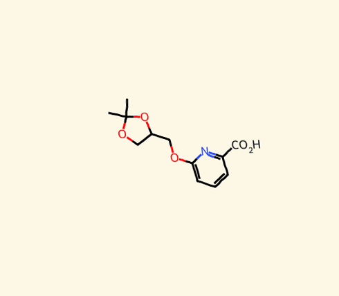 CC1(C)OCC(COc2cccc(C(=O)O)n2)O1